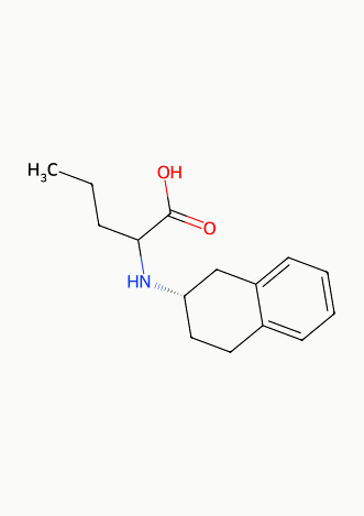 CCCC(N[C@H]1CCc2ccccc2C1)C(=O)O